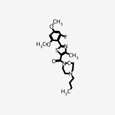 CCCCN1CCCN(C(=O)c2sc(-c3c(F)cc(OC)cc3OC)nc2C)CC1